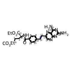 CCOC(=O)CC[C@H](NC(=O)c1ccc(/C=C/c2cnc3nc(N)nc(N)c3n2)cc1)C(=O)OCC